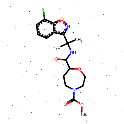 CC(C)(C)OC(=O)N1CCOC(C(O)NC(C)(C)c2noc3c(F)cccc23)CC1